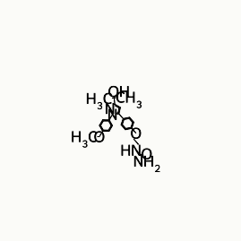 COc1ccc(-n2nc(C(C)(C)O)cc2-c2ccc(OCCNC(N)=O)cc2)cc1